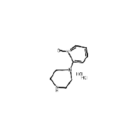 Cl.Cl.[O-][n+]1ccccc1N1CCNCC1